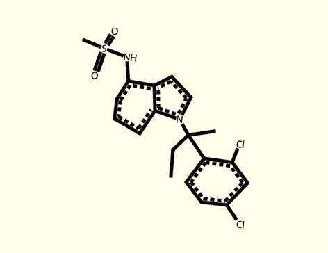 CCC(C)(c1ccc(Cl)cc1Cl)n1ccc2c(NS(C)(=O)=O)cccc21